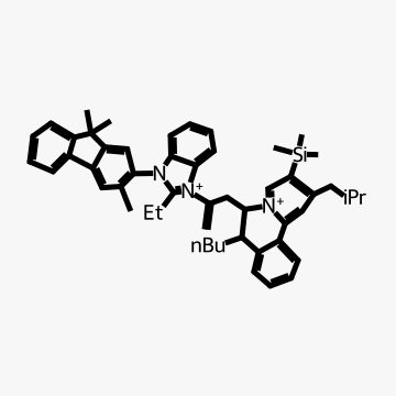 C=C(CC1C(CCCC)c2ccccc2-c2cc(CC(C)C)c([Si](C)(C)C)c[n+]21)[n+]1c(CC)n(-c2cc3c(cc2C)-c2ccccc2C3(C)C)c2ccccc21